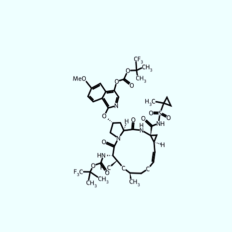 COc1ccc2c(O[C@@H]3C[C@H]4C(=O)N[C@]5(C(=O)NS(=O)(=O)C6(C)CC6)C[C@H]5C=CCC[C@@H](C)C[C@@H](C)[C@H](NC(=O)OC(C)(C)C(F)(F)F)C(=O)N4C3)ncc(OC(=O)OC(C)(C)C(F)(F)F)c2c1